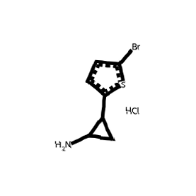 Cl.NC1CC1c1ccc(Br)s1